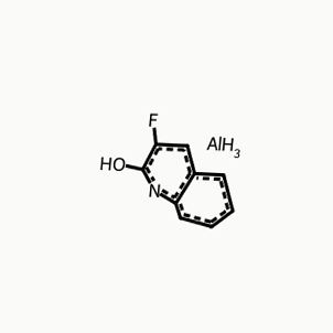 Oc1nc2ccccc2cc1F.[AlH3]